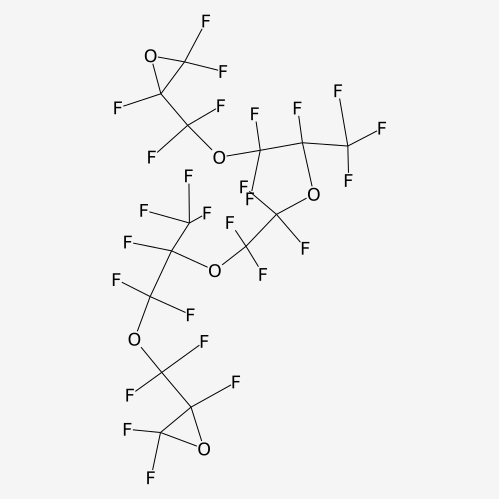 FC(F)(F)C(F)(OC(F)(F)C(F)(F)OC(F)(C(F)(F)F)C(F)(F)OC(F)(F)C1(F)OC1(F)F)C(F)(F)OC(F)(F)C1(F)OC1(F)F